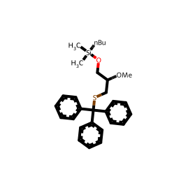 CCCC[Si](C)(C)OCC(CSC(c1ccccc1)(c1ccccc1)c1ccccc1)OC